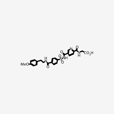 COc1ccc(CCNC(=O)c2ccc(S(=O)(=O)NC(=O)c3ccc(C(=O)NCC(=O)O)nc3)cc2)cc1